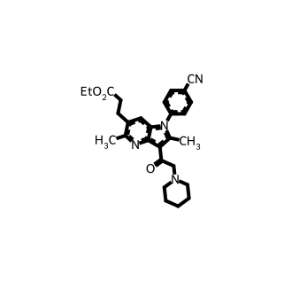 CCOC(=O)CCc1cc2c(nc1C)c(C(=O)CN1CCCCC1)c(C)n2-c1ccc(C#N)cc1